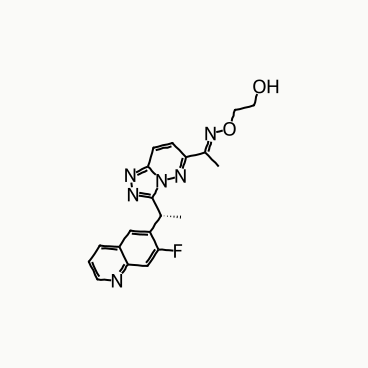 C/C(=N\OCCO)c1ccc2nnc([C@H](C)c3cc4cccnc4cc3F)n2n1